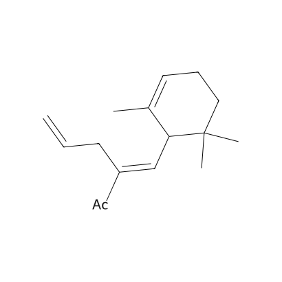 C=CCC(=CC1C(C)=CCCC1(C)C)C(C)=O